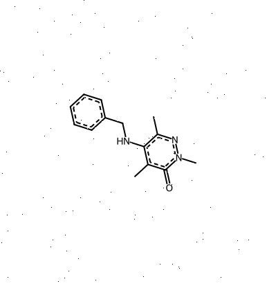 Cc1nn(C)c(=O)c(C)c1NCc1ccccc1